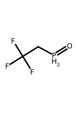 O=[PH2]CC(F)(F)F